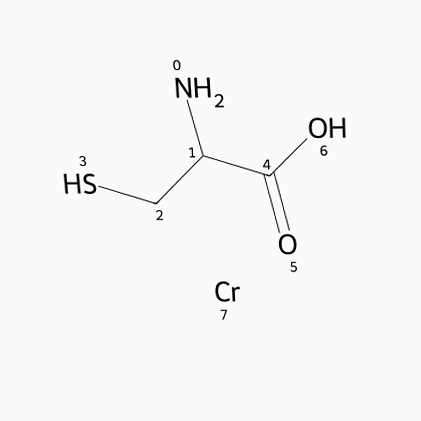 NC(CS)C(=O)O.[Cr]